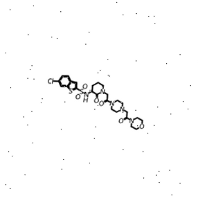 O=C(CN1CCN(C(=O)CN2CCC[C@H](NS(=O)(=O)c3cc4ccc(Cl)cc4s3)C2=O)CC1)N1CCOCC1